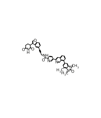 Cc1cc(-c2cccc3cc(-c4ccc(C(=O)NCC#Cc5ccc6occ(C7CCC(=O)NC7=O)c6c5)nc4)ncc23)cc2c1n(C)c(=O)n2C